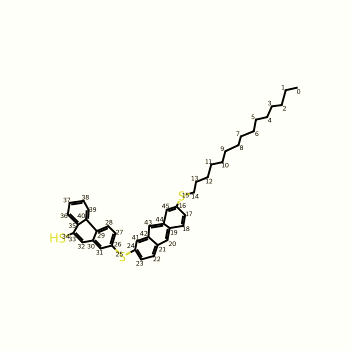 CCCCCCCCCCCCCCCSc1ccc2cc3ccc(Sc4ccc5c(c4)cc(S)c4ccccc45)cc3cc2c1